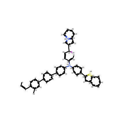 C/C=C\c1ccc(-c2ccc(-c3ccc(N(C(/C=C\C(I)c4cc5ccccn5c4)=C/C)c4ccc(-c5cc6ccccc6s5)cc4)cc3)cc2)cc1C